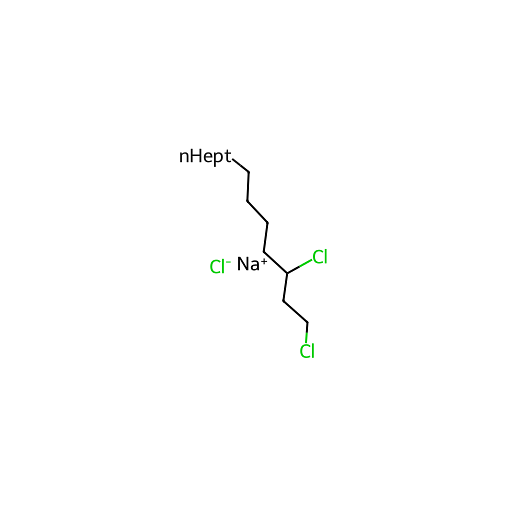 CCCCCCCCCCCC(Cl)CCCl.[Cl-].[Na+]